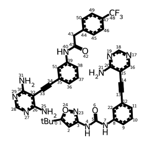 CC(C)(C)c1cc(NC(=O)Nc2cccc(C#Cc3cncnc3N)c2)no1.Nc1ncnc(N)c1C#Cc1cccc(NC(=O)Cc2ccc(C(F)(F)F)cc2)c1